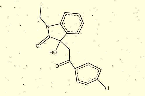 CCN1C(=O)C(O)(CC(=O)c2ccc(Cl)cc2)c2ccccc21